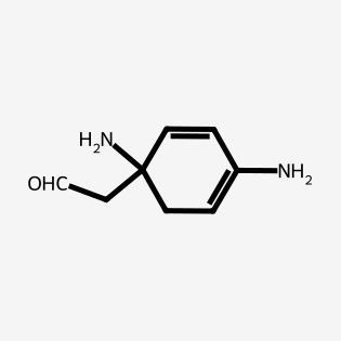 NC1=CCC(N)(CC=O)C=C1